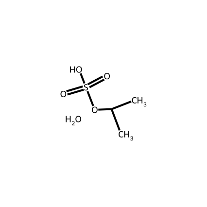 CC(C)OS(=O)(=O)O.O